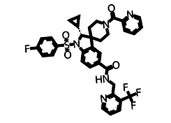 O=C(NCc1ncccc1C(F)(F)F)c1ccc2c(c1)C1(CCN(C(=O)c3ccccn3)CC1)[C@@H](C1CC1)N2S(=O)(=O)c1ccc(F)cc1